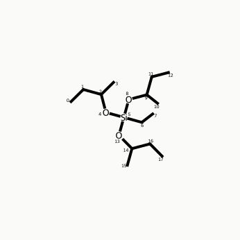 CCC(C)O[Si](CC)(OC(C)CC)OC(C)CC